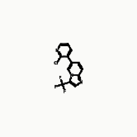 FC(F)(F)c1cnc2ccc(-c3cccnc3Cl)cn12